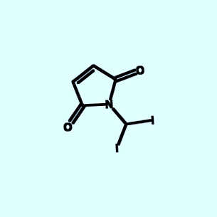 O=C1C=CC(=O)N1C(I)I